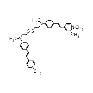 CC1C=C(/C=C/c2ccc(N(C)CCSSCCN(C)c3ccc(/C=C/C4=CCN(C)C=C4)cc3)cc2)C=CN1C